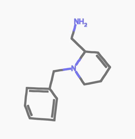 NCC1C=CCCN1Cc1ccccc1